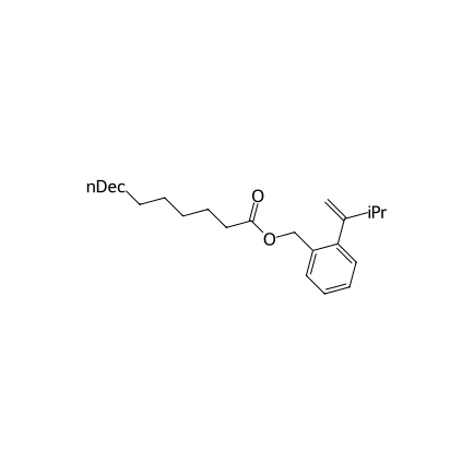 C=C(c1ccccc1COC(=O)CCCCCCCCCCCCCCC)C(C)C